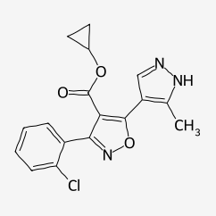 Cc1[nH]ncc1-c1onc(-c2ccccc2Cl)c1C(=O)OC1CC1